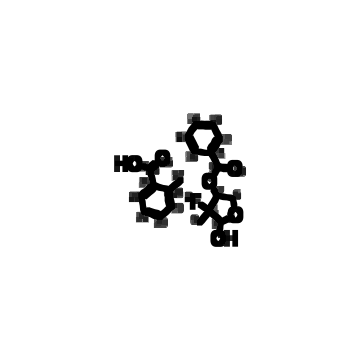 CC1(F)C(O)OCC1OC(=O)c1ccccc1.Cc1ccccc1C(=O)O